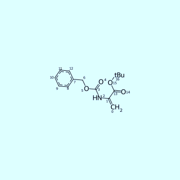 C=C(NC(=O)OCc1ccccc1)C(=O)OC(C)(C)C